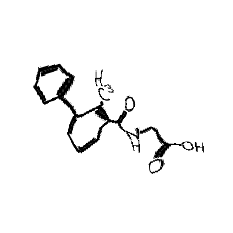 Cc1c(C(=O)NCC(=O)O)cccc1-c1ccccc1